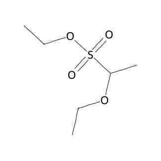 CCOC(C)S(=O)(=O)OCC